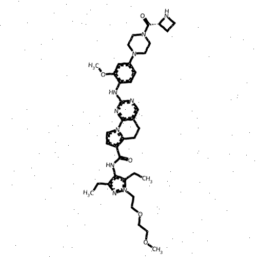 CCc1nn(CCOCCOC)c(CC)c1NC(=O)c1ccn2c1CCc1cnc(Nc3ccc(N4CCN(C(=O)[C@H]5CCN5)CC4)cc3OC)nc1-2